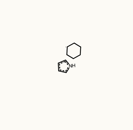 [CH]1CCCCC1.c1cc[nH]c1